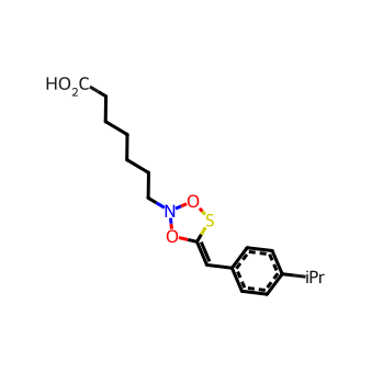 CC(C)c1ccc(C=C2ON(CCCCCCC(=O)O)OS2)cc1